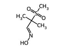 CC(C)(C=NO)S(C)(=O)=O